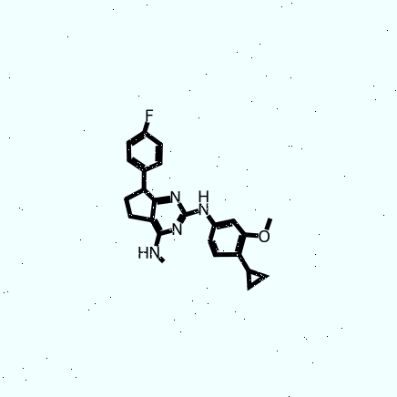 CNc1nc(Nc2ccc(C3CC3)c(OC)c2)nc2c1CCC2c1ccc(F)cc1